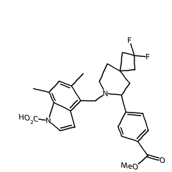 COC(=O)c1ccc(C2CC3(CCN2Cc2c(C)cc(C)c4c2ccn4C(=O)O)CC(F)(F)C3)cc1